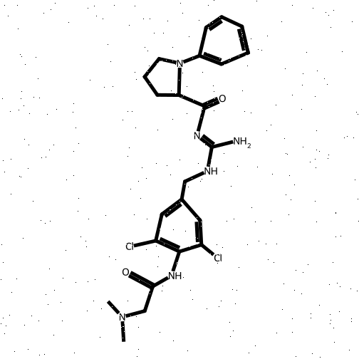 CN(C)CC(=O)Nc1c(Cl)cc(CNC(N)=NC(=O)C2CCCN2c2ccccc2)cc1Cl